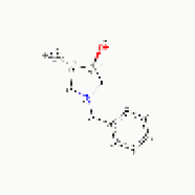 O=C(O)[C@H]1CN(Cc2ccccc2)C[C@@H]1O